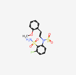 COc1ccccc1C=CN(c1cccc(F)c1S(N)(=O)=O)[SH](=O)=O